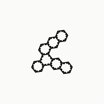 c1ccc2cc3c(ccc4c5ccccc5c5cc6ccccc6cc5c34)cc2c1